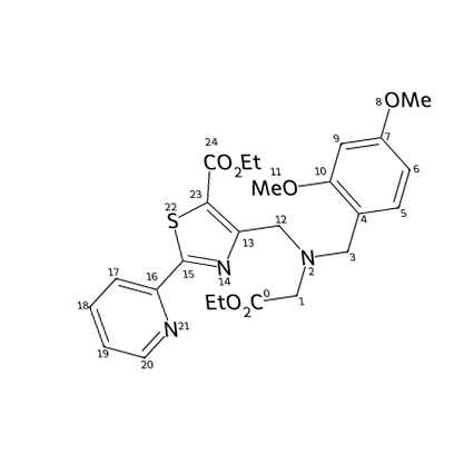 CCOC(=O)CN(Cc1ccc(OC)cc1OC)Cc1nc(-c2ccccn2)sc1C(=O)OCC